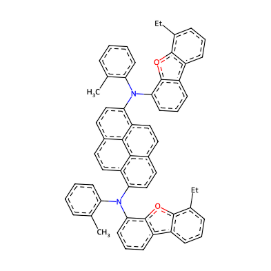 CCc1cccc2c1oc1c(N(c3ccccc3C)c3ccc4ccc5c(N(c6ccccc6C)c6cccc7c6oc6c(CC)cccc67)ccc6ccc3c4c65)cccc12